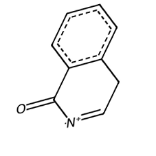 O=C1[N+]=CCc2ccccc21